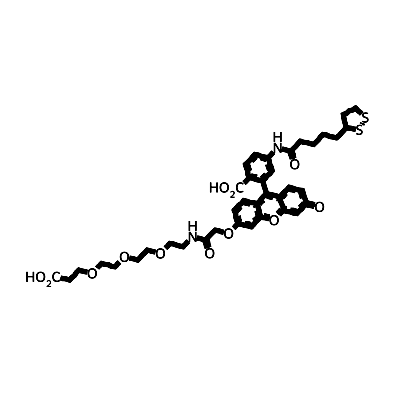 O=C(O)CCOCCOCCOCCNC(=O)COc1ccc2c(-c3cc(NC(=O)CCCCC4CCSS4)ccc3C(=O)O)c3ccc(=O)cc-3oc2c1